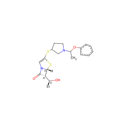 CC[C@H](O)[C@@H]1C(=O)N2C=C(SC3CCN(C(C)Oc4ccccc4)C3)S[C@H]12